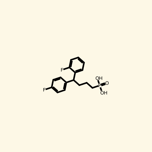 O=P(O)(O)CCCC(c1ccc(F)cc1)c1ccccc1F